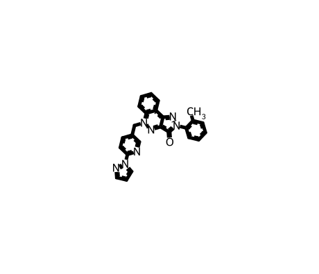 Cc1ccccc1-n1nc2c3ccccc3n(Cc3ccc(-n4cccn4)nc3)nc-2c1=O